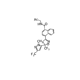 CC(=O)CNC(=O)c1ccc(C2=NOC(c3cc(C(F)(F)F)nn3C)(C(F)(F)F)C2)c2ccccc12